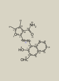 Cc1oc(/N=N/c2c(O)c(C=O)cc3ccccc23)c(C(N)=O)c1C